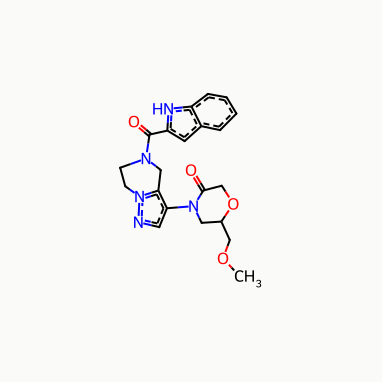 COCC1CN(c2cnn3c2CN(C(=O)c2cc4ccccc4[nH]2)CC3)C(=O)CO1